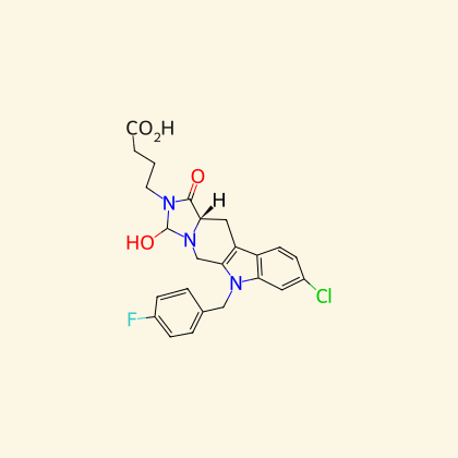 O=C(O)CCCN1C(=O)[C@@H]2Cc3c(n(Cc4ccc(F)cc4)c4cc(Cl)ccc34)CN2C1O